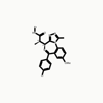 CCNC(=O)[C@H](C)[C@@H]1N=C(c2ccc(Cl)cc2)c2cc(OC)ccc2-n2c(C)nnc21